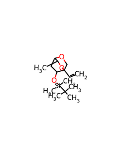 C=CC12COC(CC1O[Si](C)(C)C(C)(C)C)C(C)O2